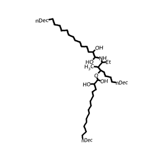 CCCCCCCCCCCCCCCCCCCCCCC(O)C(O)NC(CC)C(C)C(CCCCCCCCCCCCCC)OC(O)C(O)CCCCCCCCCCCCCCCCCCCCCC